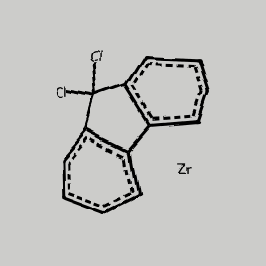 ClC1(Cl)c2ccccc2-c2ccccc21.[Zr]